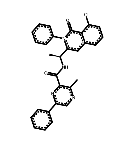 Cc1ncc(-c2ccccc2)nc1C(=O)N[C@@H](C)c1cc2cccc(Cl)c2c(=O)n1-c1ccccc1